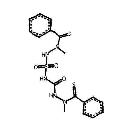 CN(NC(=O)NS(=O)(=O)NN(C)C(=S)c1ccccc1)C(=S)c1ccccc1